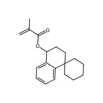 C=C(C)C(=O)OC1CCC2(CCCCC2)c2ccccc21